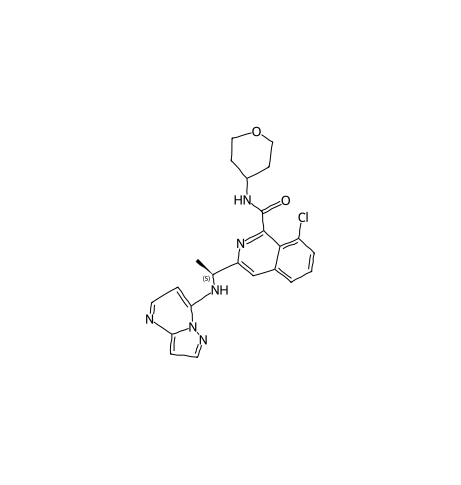 C[C@H](Nc1ccnc2ccnn12)c1cc2cccc(Cl)c2c(C(=O)NC2CCOCC2)n1